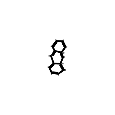 [c]1ccc2nc3ccccc3cc2c1